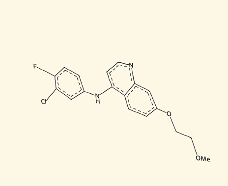 COCCOc1ccc2c(Nc3ccc(F)c(Cl)c3)ccnc2c1